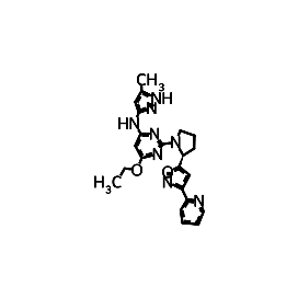 CCOc1cc(Nc2cc(C)[nH]n2)nc(N2CCC[C@H]2c2cc(-c3ccccn3)no2)n1